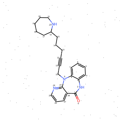 O=C1Nc2ccccc2N(CC#CCCCC2CCCCCN2)c2ncccc21